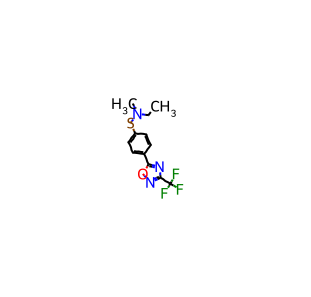 CCN(C)Sc1ccc(-c2nc(C(F)(F)F)no2)cc1